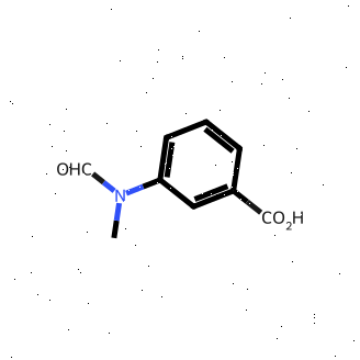 CN(C=O)c1cccc(C(=O)O)c1